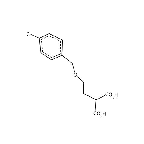 O=C(O)C(CCOCc1ccc(Cl)cc1)C(=O)O